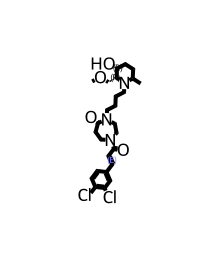 COC[C@@H]1[C@H](O)CCC(C)N1CCCCN1CCN(C(=O)/C=C/c2ccc(Cl)c(Cl)c2)CCC1=O